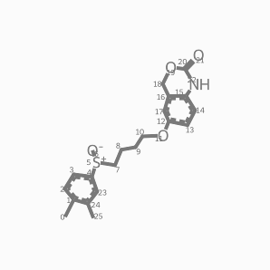 Cc1ccc([S+]([O-])CCCCOc2ccc3c(c2)COC(=O)N3)cc1C